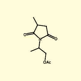 CC(=O)OCC(C)N1C(=O)CC(C)C1=O